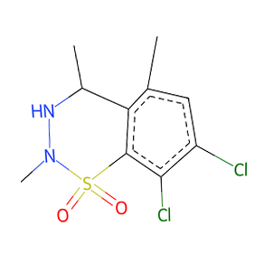 Cc1cc(Cl)c(Cl)c2c1C(C)NN(C)S2(=O)=O